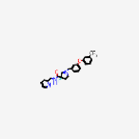 O=C(NCc1ccccn1)C1(F)CCN(Cc2cccc(Oc3cccc(C(F)(F)F)c3)c2)C1